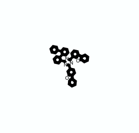 c1ccc(-c2ccccc2-c2ccccc2-c2nc(-c3ccc4c(c3)oc3ccccc34)nc(-c3cccc4c3oc3ccccc34)n2)cc1